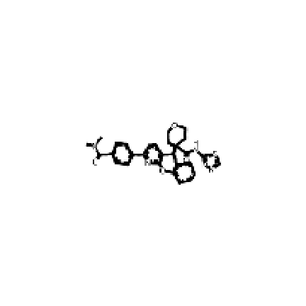 CN(C)C(=O)c1ccc(-c2ccc3c(n2)Oc2ccccc2C3C2(C(=O)Nc3nncs3)CCOCC2)cc1